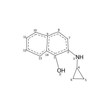 Oc1c(NC2CC2)ccc2ccccc12